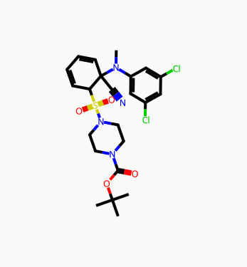 CN(c1cc(Cl)cc(Cl)c1)C1(C#N)C=CC=CC1S(=O)(=O)N1CCN(C(=O)OC(C)(C)C)CC1